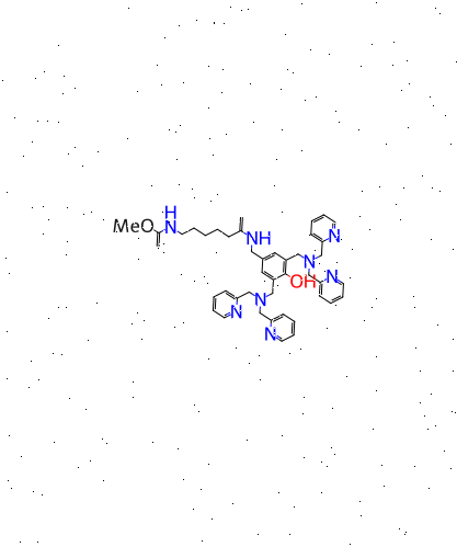 C=C(CCCCCNC(=C)OC)NCc1cc(CN(Cc2ccccn2)Cc2ccccn2)c(O)c(CN(Cc2ccccn2)Cc2ccccn2)c1